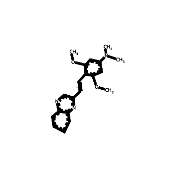 COc1cc(N(C)C)cc(OC)c1/C=C/c1cnc2ccccc2n1